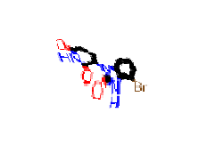 O=C1CCC(n2c(=O)[nH]c3c(Br)cccc32)C(=O)N1